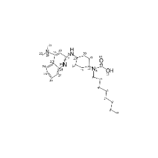 CCCCCCCCN(C(=O)O)C1CCC(Nc2cc(N(C)C)c3ccccc3n2)CC1